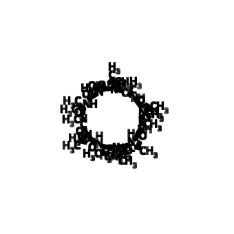 CC(C)C[C@@H]1NC(=O)[C@H](CC(C)C)N(C)C(=O)[C@H](C(C)C)NC(=O)[C@H](CC(C)C)N(C)C(=O)CN(C)C(=O)[C@H](C(C)C)NC(=O)[C@H](CO)N(C)C(=O)[C@H](CC(C)C)N(C)C(=O)C[C@H](C)NC(=O)[C@H](CC(C)C)N(C)C(=O)C(C)NC1=O